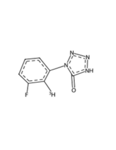 [3H]c1c(F)cccc1-n1nn[nH]c1=O